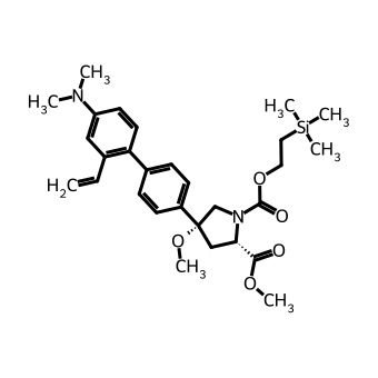 C=Cc1cc(N(C)C)ccc1-c1ccc([C@]2(OC)C[C@@H](C(=O)OC)N(C(=O)OCC[Si](C)(C)C)C2)cc1